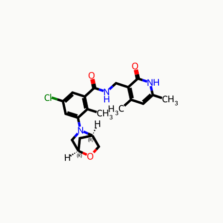 Cc1cc(C)c(CNC(=O)c2cc(Cl)cc(N3C[C@H]4C[C@@H]3CO4)c2C)c(=O)[nH]1